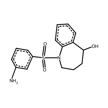 Nc1cccc(S(=O)(=O)N2CCCC(O)c3ccccc32)c1